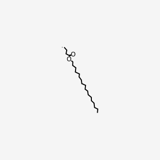 [CH2]CCC(=O)OCCCCCCCCCCCCCCCCCC